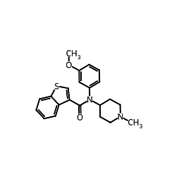 COc1cccc(N(C(=O)c2csc3ccccc23)C2CCN(C)CC2)c1